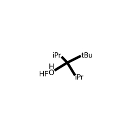 CC(C)C(O)(C(C)C)C(C)(C)C.F